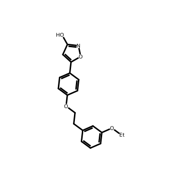 CCOc1cccc(CCOc2ccc(-c3cc(O)no3)cc2)c1